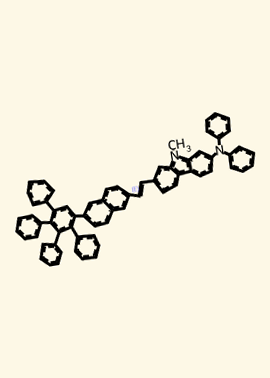 Cn1c2cc(/C=C/c3ccc4cc(-c5cc(-c6ccccc6)c(-c6ccccc6)c(-c6ccccc6)c5-c5ccccc5)ccc4c3)ccc2c2ccc(N(c3ccccc3)c3ccccc3)cc21